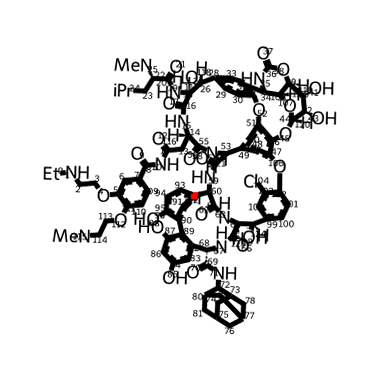 CCNCCOc1cc(C(=O)NC(=O)C[C@@H]2NC(=O)[C@H](NC(=O)[C@@H](CC(C)C)NC)[C@H](O)c3ccc4c(c3)C3NC(=O)O[C@H]5[C@H](O)[C@@H](O)[C@H](Oc6c7cc(cc6O4)[C@@H](NC2=O)C(=O)N[C@H]2C(=O)N[C@H](C(=O)N[C@H](C(=O)NC4C6CC8CC(C6)CC4C8)c4cc(O)cc(O)c4-c4cc2ccc4O)[C@H](O)c2ccc(c(Cl)c2)O7)O[C@H]35)ccc1OCCNC